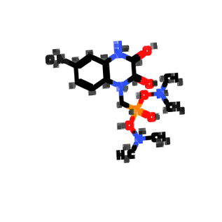 CN(C)OP(=O)(Cn1c(=O)c(=O)[nH]c2cc([N+](=O)[O-])ccc21)ON(C)C